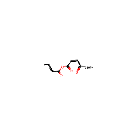 C/C=C/C(=O)OC(=O)/C=C\C(=O)OC